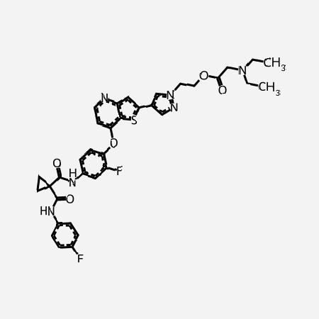 CCN(CC)CC(=O)OCCn1cc(-c2cc3nccc(Oc4ccc(NC(=O)C5(C(=O)Nc6ccc(F)cc6)CC5)cc4F)c3s2)cn1